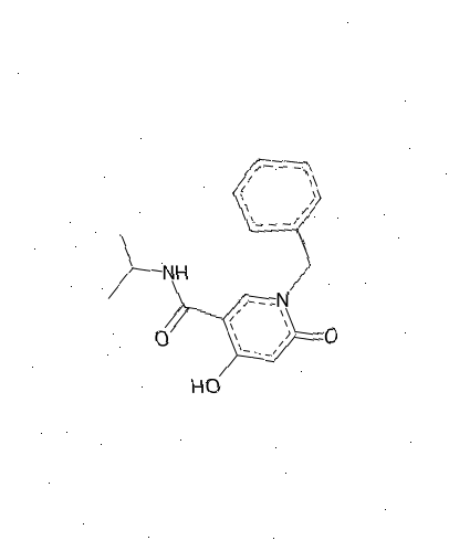 CC(C)NC(=O)c1cn(Cc2ccccc2)c(=O)cc1O